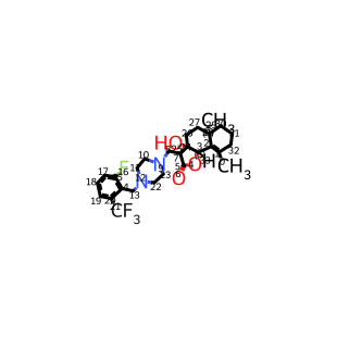 CC1=C2[C@@H]3OC(=O)C(CN4CCN(Cc5c(F)cccc5C(F)(F)F)CC4)C3(O)CC[C@@]2(C)CCC1